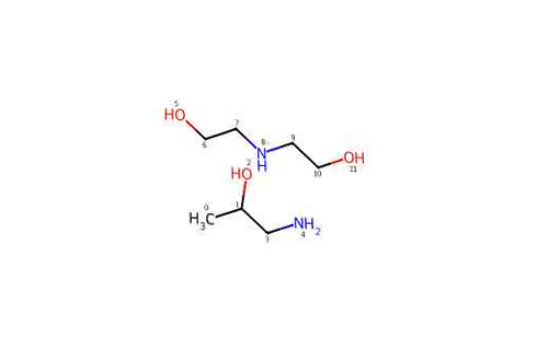 CC(O)CN.OCCNCCO